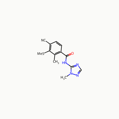 CSc1c(C#N)ccc(C(=O)Nc2ncnn2C)c1C